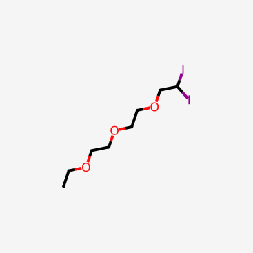 CCOCCOCCOCC(I)I